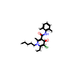 CCCCCn1c(C)c(C(=O)Nc2c(C)cccc2C)c(=O)c(Br)c1CC